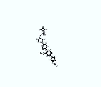 Cc1nsc(-c2ccc(-c3ccc(N4CC[C@H](CNC5CCC5)C4)nn3)c(O)c2)n1